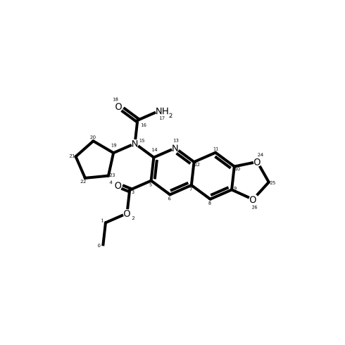 CCOC(=O)c1cc2cc3c(cc2nc1N(C(N)=O)C1CCCC1)OCO3